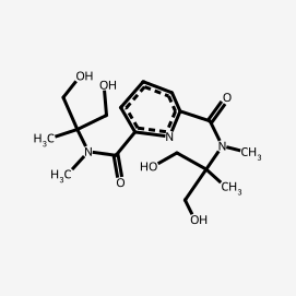 CN(C(=O)c1cccc(C(=O)N(C)C(C)(CO)CO)n1)C(C)(CO)CO